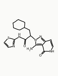 Nc1c2c(=O)[nH]ccc2nn1C(CC1CCCCC1)C(=O)Nc1nccs1